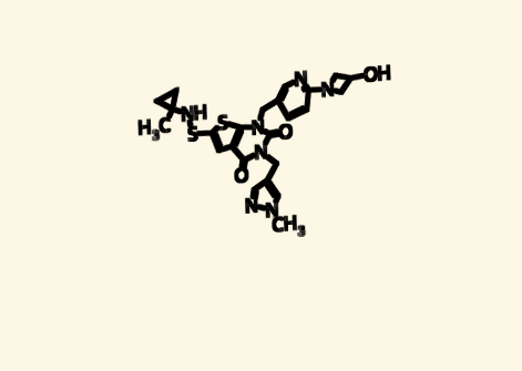 Cn1cc(Cn2c(=O)c3cc(SNC4(C)CC4)sc3n(Cc3ccc(N4CC(O)C4)nc3)c2=O)cn1